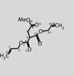 C=CCOC(=O)C(CC(=O)OC)C(=O)OCC=C